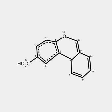 O=C(O)c1ccc2c(c1)C1C=CC=CC1=CO2